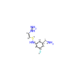 NCc1cc(F)cc(NS/C=C\NN)c1